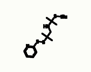 CC(C)(C)SC(C)(C)NCC(C)(C)SSc1ccccn1